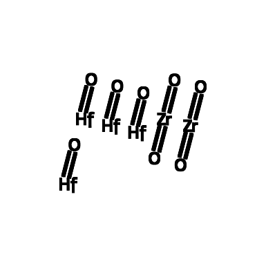 [O]=[Hf].[O]=[Hf].[O]=[Hf].[O]=[Hf].[O]=[Zr]=[O].[O]=[Zr]=[O]